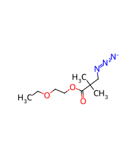 CCOCCOC(=O)C(C)(C)CN=[N+]=[N-]